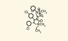 C=CC[C@@]1(C)C[C@H](c2cccc(Cl)c2)[C@@H](c2ccc(Cl)cc2)N([C@@H](CN(c2ccccn2)S(C)(=O)=O)C2CC2)C1=O